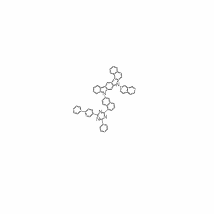 c1ccc(-c2ccc(-c3nc(-c4ccccc4)nc(-c4cccc5cc(-n6c7ccccc7c7cc8c9c%10ccccc%10ccc9n(-c9ccc%10ccccc%10c9)c8cc76)ccc45)n3)cc2)cc1